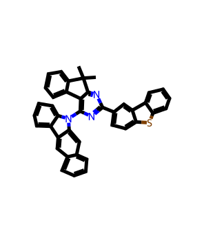 CC1(C)c2ccccc2-c2c(-n3c4ccccc4c4cc5ccccc5cc43)nc(-c3ccc4sc5ccccc5c4c3)nc21